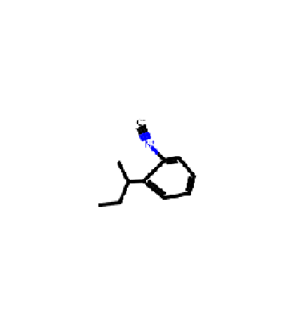 [C-]#[N+]c1ccccc1C(C)CC